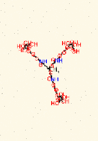 CC(CCCCC(=O)NCCOCCOCCOC1OC(CO)[C@@H](O)[C@H](O)[C@H]1O)(COCCC(=O)NCCOCCOCCOC1OC(CO)[C@@H](O)[C@H](O)[C@H]1O)COCCC(=O)NCCOCCOCCOC1OC(CO)[C@@H](O)[C@H](O)[C@H]1O